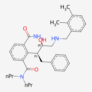 CCCN(CCC)C(=O)c1cccc(C(N)=O)c1[C@H](Cc1ccccc1)[C@@H](O)CNCc1cccc(C)c1C